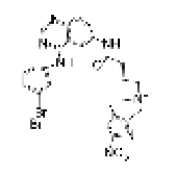 Cn1cc([N+](=O)[O-])nc1C[N+](C)(C)C/C=C/C(=O)Nc1ccc2ncnc(Nc3cccc(Br)c3)c2c1.[Br-]